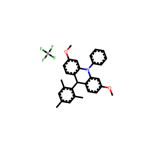 COc1ccc2c(c1)N(c1ccccc1)c1cc(OC)ccc1C2c1c(C)cc(C)cc1C.F[B-](F)(F)F